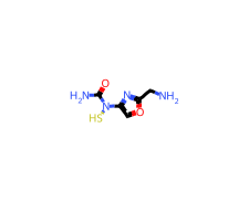 NCc1nc(N(S)C(N)=O)co1